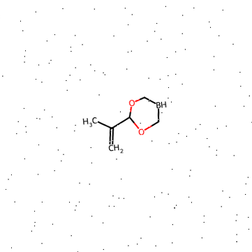 C=C(C)C1OCBCO1